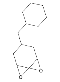 C1CCC(CC2CC3OC34OC4C2)CC1